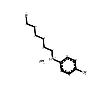 Br.Oc1ccc(NCCCCCCBr)cc1